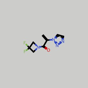 C=C(C(=O)N1CC(F)(F)C1)n1ccnn1